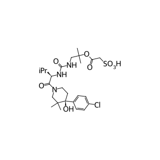 CC(C)[C@@H](NC(=O)NCC(C)(C)OC(=O)CS(=O)(=O)O)C(=O)N1CC[C@](O)(c2ccc(Cl)cc2)C(C)(C)C1